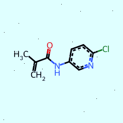 C=C(C)C(=O)Nc1ccc(Cl)nc1